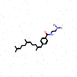 CCN(CC)CCNC(=O)c1ccc(C=C(C)CCC=C(C)CCC=C(C)C)cc1